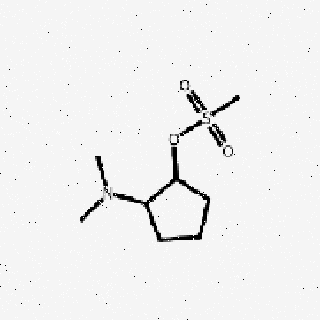 CN(C)C1CCCC1OS(C)(=O)=O